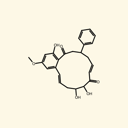 COc1cc(O)c2c(c1)/C=C/CC(O)C(O)C(=O)/C=C/CC(c1ccccc1)CC2=O